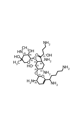 CN[C@@H]1[C@@H](O)[C@@H](O[C@@H]2[C@@H](O)[C@H](O[C@H]3OC(C(N)CCCCN)=CC[C@H]3N)[C@@H](N)C[C@]2(N)C(=O)[C@@H](O)CCN)OC[C@]1(C)O